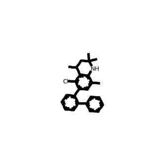 Cc1cc(-c2ccccc2-c2ccccc2)c(Cl)c2c1NC(C)(C)CC2C